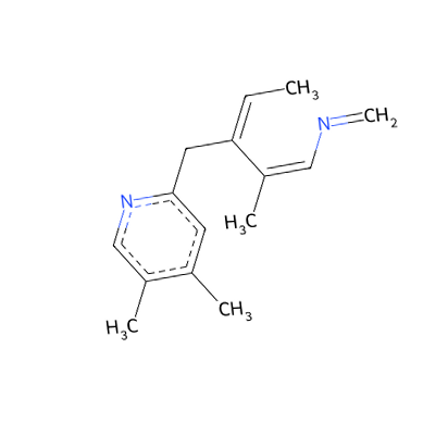 C=N/C=C(C)\C(=C/C)Cc1cc(C)c(C)cn1